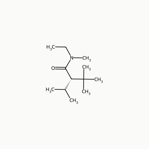 CCN(C)C(=O)[C@@H](C(C)C)C(C)(C)C